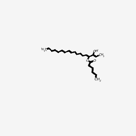 CCCCCCCCCCCCCCC(OC(=O)CCCCC)C(O)CC